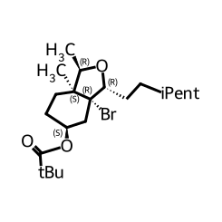 CCCC(C)CC[C@H]1O[C@H](C)[C@]2(C)CC[C@H](OC(=O)C(C)(C)C)C[C@]12Br